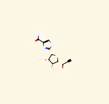 C#CC(O)[C@H]1O[C@@H](c2nc(C(N)=O)c[nH]2)[C@H](O)[C@@H]1O